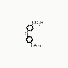 CCCCCc1ccc(Oc2ccc(C(=O)O)cc2)cc1